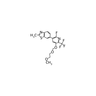 COCCOCOc1cc(-c2ccc3nc(C)sc3c2)c(F)nc1C(F)(F)F